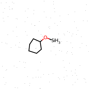 [SiH3]OC1CCCCC1